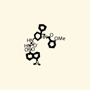 COc1ccccc1C(=O)NC[C@]1(c2ccccc2)CC[C@H](N[S+]([O-])NS(=O)(=O)c2cccc3c(N(C)C)cccc23)CC1